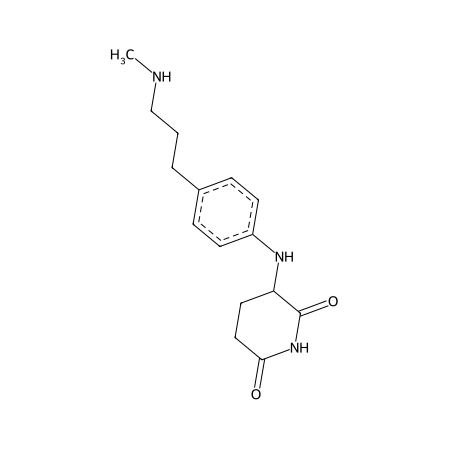 CNCCCc1ccc(NC2CCC(=O)NC2=O)cc1